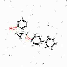 Oc1ccccc1C1(COc2ccc(-c3ccccc3)cc2)CC1